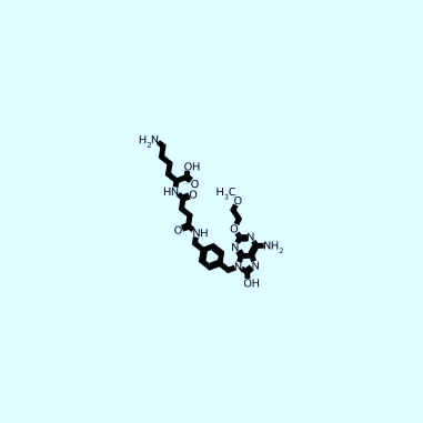 COCCOc1nc(N)c2nc(O)n(Cc3ccc(CNC(=O)CCC(=O)NC(CCCCN)C(=O)O)cc3)c2n1